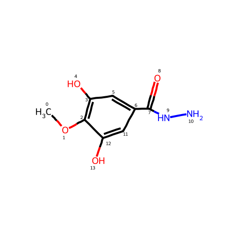 COc1c(O)cc(C(=O)NN)cc1O